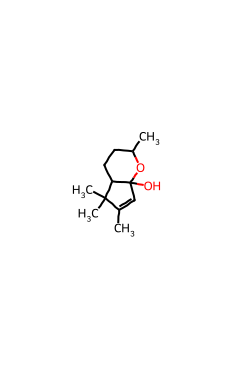 CC1=CC2(O)OC(C)CCC2C1(C)C